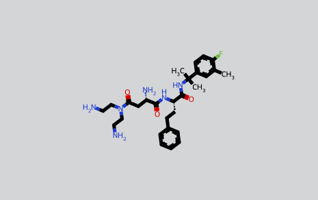 Cc1cc(C(C)(C)NC(=O)[C@H](CCc2ccccc2)NC(=O)[C@@H](N)CC(=O)N(CCN)CCN)ccc1F